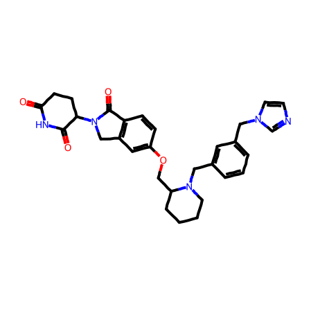 O=C1CCC(N2Cc3cc(OCC4CCCCN4Cc4cccc(Cn5ccnc5)c4)ccc3C2=O)C(=O)N1